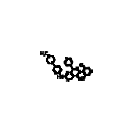 CN1CCN(c2ccc(Nc3ncc4c(=O)n(-c5c(Cl)cncc5Cl)nc(-c5ccncc5)c4n3)cc2)CC1